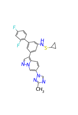 Cc1ncn(-c2ccc3c(-c4cc(NSC5CC5)cc(-c5ccc(F)cc5F)c4)cnn3c2)n1